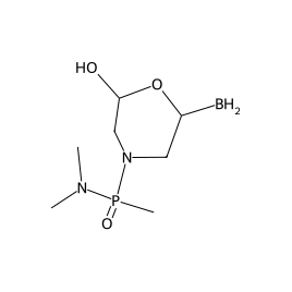 BC1CN(P(C)(=O)N(C)C)CC(O)O1